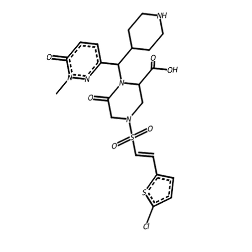 Cn1nc(C(C2CCNCC2)N2C(=O)CN(S(=O)(=O)C=Cc3ccc(Cl)s3)CC2C(=O)O)ccc1=O